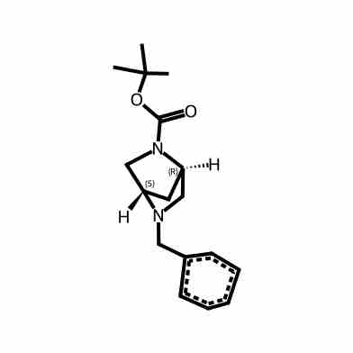 CC(C)(C)OC(=O)N1C[C@@H]2C[C@@H]1CN2Cc1ccccc1